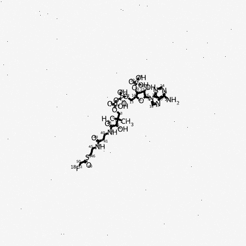 CC(C)(COP(=O)(O)OP(=O)(O)OCC1OC(n2cnc3c(N)ncnc32)C(O)C1OP(=O)(O)O)C(O)C(=O)NCCC(=O)NCCSC(=O)C[18F]